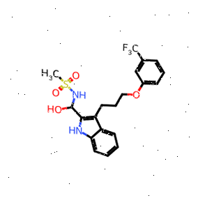 CS(=O)(=O)NC(O)c1[nH]c2ccccc2c1CCCOc1cccc(C(F)(F)F)c1